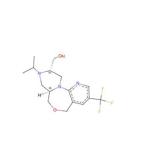 CC(C)N1C[C@@H]2COCc3cc(C(F)(F)F)cnc3N2C[C@H]1CO